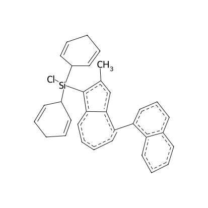 Cc1cc2c(-c3cccc4ccccc34)ccccc-2c1[Si](Cl)(C1C=CCC=C1)C1C=CCC=C1